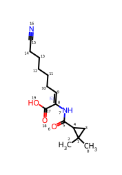 CC1(C)CC1C(=O)N/C(=C/CCCCCC#N)C(=O)O